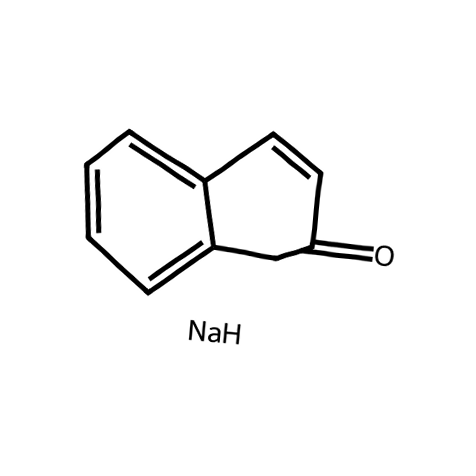 O=C1C=Cc2ccccc2C1.[NaH]